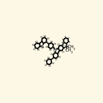 CC1(C)c2ccccc2-c2cc3c(cc21)c1ccc(-c2ccccc2)cc1n3-c1ccc(-c2cccc3c2sc2ccccc23)cc1